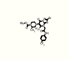 Cc1c(N2CCN(C(=O)OC(C)(C)C)[C@H](C)C2)c(=O)n2nc(Br)nc2n1CC(=O)Nc1ccc(C(F)(F)F)cc1